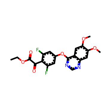 CCOC(=O)C(=O)c1c(F)cc(Oc2ncnc3cc(OC)c(OC)cc23)cc1F